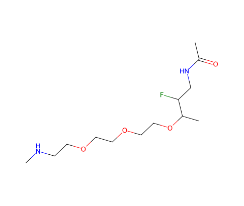 CNCCOCCOCCOC(C)C(F)CNC(C)=O